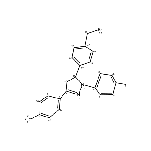 Cc1ccc(N2N=C(c3ccc(C(F)(F)F)cc3)CC2c2ccc(CBr)cc2)cc1